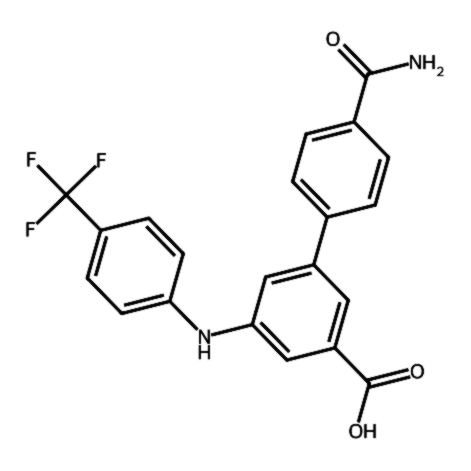 NC(=O)c1ccc(-c2cc(Nc3ccc(C(F)(F)F)cc3)cc(C(=O)O)c2)cc1